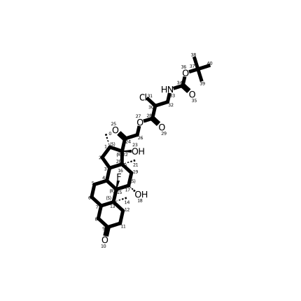 C[C@H]1CC2C3CCC4CC(=O)CC[C@]4(C)[C@@]3(F)[C@@H](O)C[C@]2(C)[C@@]1(O)C(=O)COC(=O)C(Cl)CNC(=O)OC(C)(C)C